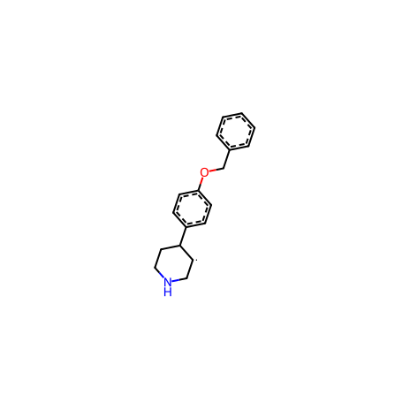 [CH]1CNCCC1c1ccc(OCc2ccccc2)cc1